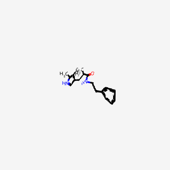 C[C](Cc1c[nH]c(C)c1C)C(=O)NCCc1ccccc1